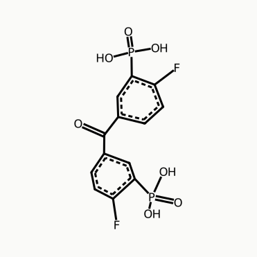 O=C(c1ccc(F)c(P(=O)(O)O)c1)c1ccc(F)c(P(=O)(O)O)c1